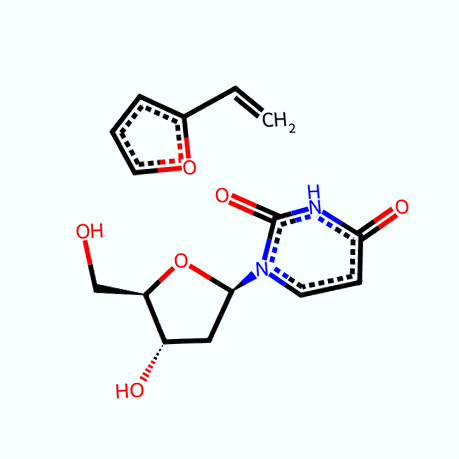 C=Cc1ccco1.O=c1ccn([C@H]2C[C@H](O)[C@@H](CO)O2)c(=O)[nH]1